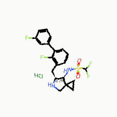 Cl.O=S(=O)(N[C@@H]1[C@H](Cc2cccc(-c3cccc(F)c3)c2F)NCC12CC2)C(F)F